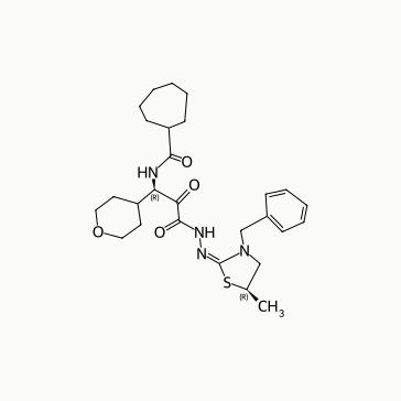 C[C@@H]1CN(Cc2ccccc2)C(=NNC(=O)C(=O)[C@H](NC(=O)C2CCCCCC2)C2CCOCC2)S1